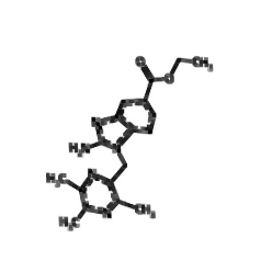 CCOC(=O)c1ccc2c(c1)nc(N)n2Cc1nc(C)c(C)nc1C